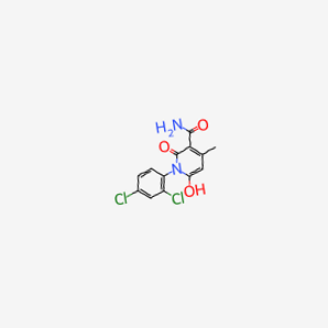 Cc1cc(O)n(-c2ccc(Cl)cc2Cl)c(=O)c1C(N)=O